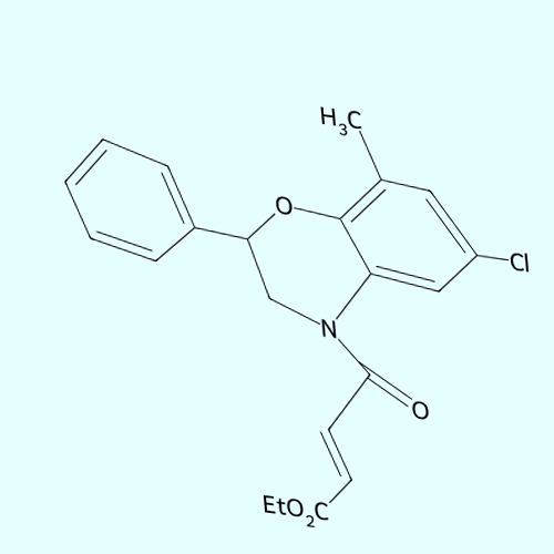 CCOC(=O)C=CC(=O)N1CC(c2ccccc2)Oc2c(C)cc(Cl)cc21